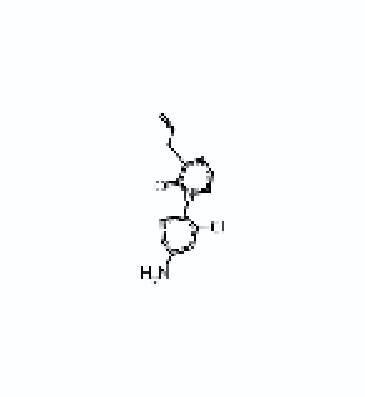 C=CCc1cccn(-c2ccc(N)cc2Cl)c1=O